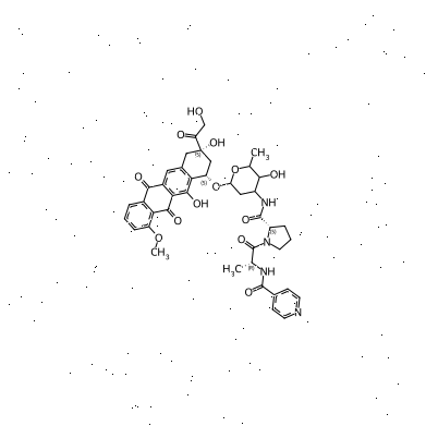 COc1cccc2c1C(=O)c1c(cc3c(c1O)[C@@H](OC1CC(NC(=O)[C@@H]4CCCN4C(=O)[C@@H](C)NC(=O)c4ccncc4)C(O)C(C)O1)C[C@](O)(C(=O)CO)C3)C2=O